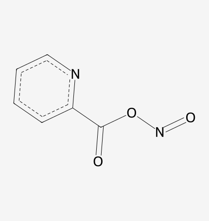 O=NOC(=O)c1ccccn1